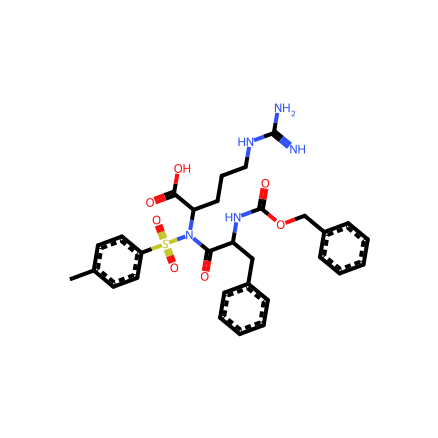 Cc1ccc(S(=O)(=O)N(C(=O)C(Cc2ccccc2)NC(=O)OCc2ccccc2)C(CCCNC(=N)N)C(=O)O)cc1